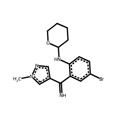 Cn1cc(C(=N)c2cc(Br)ccc2NC2CCCCO2)cn1